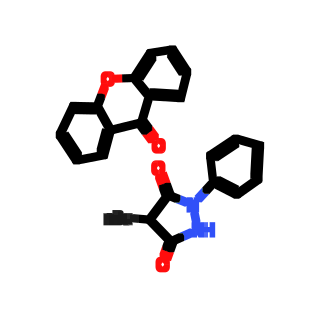 CCCCC1C(=O)NN(c2ccccc2)C1=O.O=c1c2ccccc2oc2ccccc12